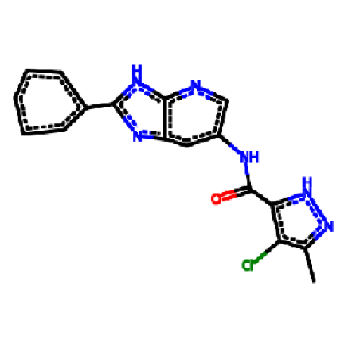 Cc1n[nH]c(C(=O)Nc2cnc3[nH]c(-c4ccccc4)nc3c2)c1Cl